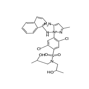 CC1=N[N+](Nc2cccc3ccccc23)(c2cc(Cl)c(S(=O)(=O)N(CC(C)O)CC(C)O)cc2Cl)C(N)=C1